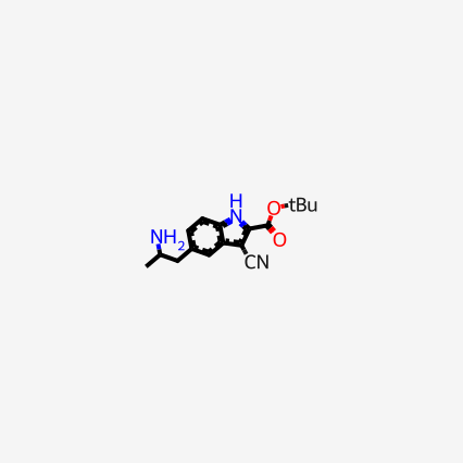 CC(N)Cc1ccc2[nH]c(C(=O)OC(C)(C)C)c(C#N)c2c1